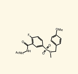 COc1ccc(CN(C)S(=O)(=O)c2ccc(F)c(C(=O)NNC(C)=O)c2)cc1